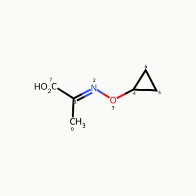 C/C(=N\OC1CC1)C(=O)O